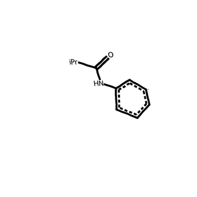 CC(C)C(=O)Nc1c[c]ccc1